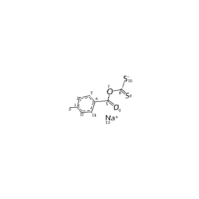 Cc1ccc(C(=O)OC(=S)[S-])cc1.[Na+]